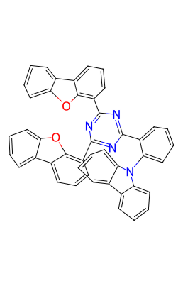 c1ccc(-n2c3ccccc3c3ccccc32)c(-c2nc(-c3cccc4c3oc3ccccc34)nc(-c3cccc4c3oc3ccccc34)n2)c1